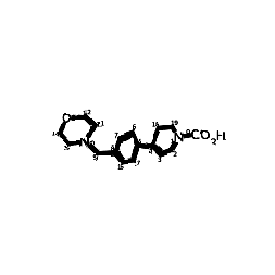 O=C(O)N1CC=C(c2ccc(CN3CCOCC3)cc2)CC1